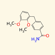 COc1cccc(Cc2ccc(C(N)=O)cc2)c1OC